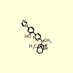 CN(c1ccc(-c2ccc(-n3ccnc3)cc2O)nn1)[C@@H]1C[C@@]2(C)CCC[C@@H]([C@H]1F)N2C